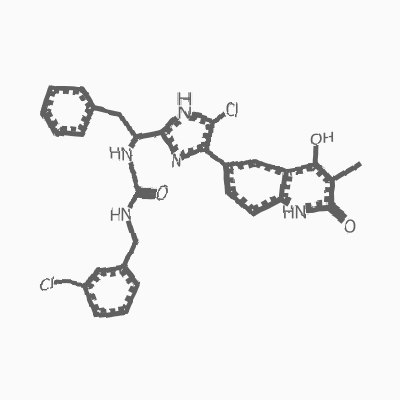 Cc1c(O)c2cc(-c3nc(C(Cc4ccccc4)NC(=O)NCc4cccc(Cl)c4)[nH]c3Cl)ccc2[nH]c1=O